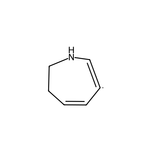 [C]1=CNCCC=C1